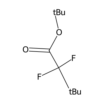 CC(C)(C)OC(=O)C(F)(F)C(C)(C)C